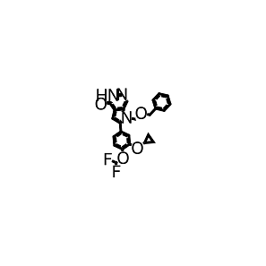 O=c1[nH]ncc2c1cc(-c1ccc(OC(F)F)c(OC3CC3)c1)n2COCc1ccccc1